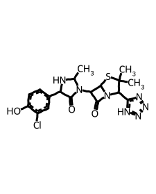 CC1NC(c2ccc(O)c(Cl)c2)C(=O)N1C1C(=O)N2C1SC(C)(C)C2c1nnn[nH]1